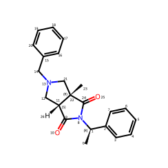 C[C@H](c1ccccc1)N1C(=O)[C@@H]2CN(Cc3ccccc3)C[C@]2(C)C1=O